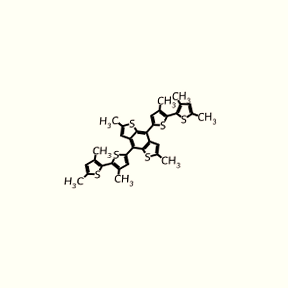 Cc1cc(C)c(-c2sc(-c3c4cc(C)sc4c(-c4cc(C)c(-c5sc(C)cc5C)s4)c4cc(C)sc34)cc2C)s1